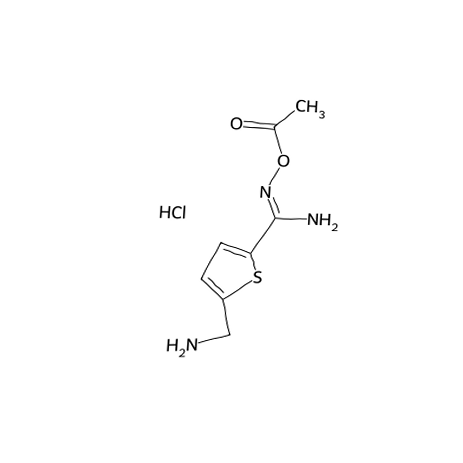 CC(=O)ON=C(N)c1ccc(CN)s1.Cl